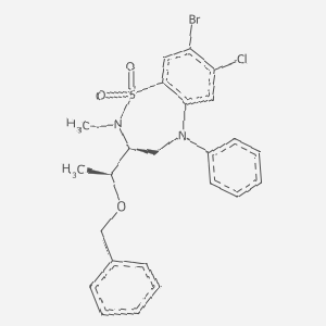 C[C@H](OCc1ccccc1)[C@@H]1CN(c2ccccc2)c2cc(Cl)c(Br)cc2S(=O)(=O)N1C